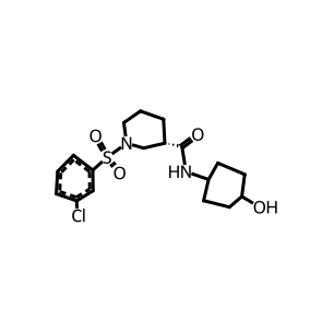 O=C(NC1CCC(O)CC1)[C@H]1CCCN(S(=O)(=O)c2cccc(Cl)c2)C1